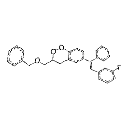 Fc1cccc(C=C(c2ccccc2)c2ccc3c(c2)CC(COCc2ccccc2)OO3)c1